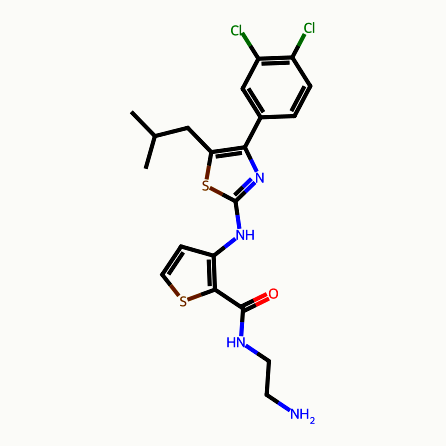 CC(C)Cc1sc(Nc2ccsc2C(=O)NCCN)nc1-c1ccc(Cl)c(Cl)c1